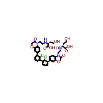 O=C(O)[C@H](CCO)NCCN1C(=O)COc2cc(-c3cccc(-c4cccc(-c5ccc6c(c5)OCC(=O)N6CCN[C@@H](CCO)C(=O)O)c4Cl)c3Cl)ccc21